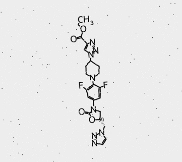 CCOC(=O)c1cn(C2CCN(c3c(F)cc(N4C[C@H](Cn5ccnn5)OC4=O)cc3F)CC2)nn1